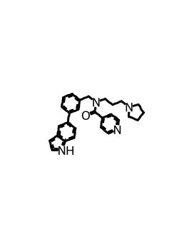 O=C(c1ccncc1)N(CCCN1CCCC1)Cc1cccc(-c2ccc3[nH]ccc3c2)c1